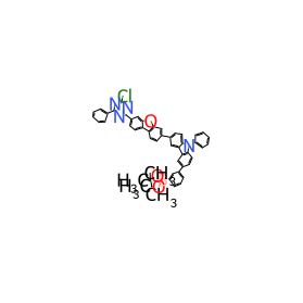 CC1(C)OB(c2cccc(-c3ccc4c(c3)c3cc(-c5ccc6c(c5)oc5cc(-c7nc(Cl)nc(-c8ccccc8)n7)ccc56)ccc3n4-c3ccccc3)c2)OC1(C)C